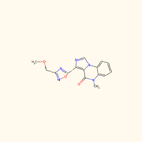 COCc1noc(-c2ncn3c2c(=O)n(C)c2ccccc23)n1